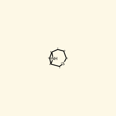 C1CSCC2CC(C1)N2